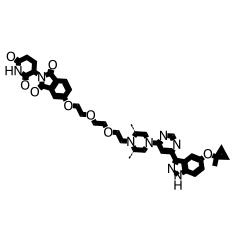 C[C@@H]1CN(c2cc(-c3n[nH]c4ccc(OC5(C)CC5)cc34)ncn2)C[C@H](C)N1CCOCCOCCOc1ccc2c(c1)C(=O)N(C1CCC(=O)NC1=O)C2=O